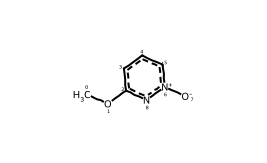 COc1cc[c][n+]([O-])n1